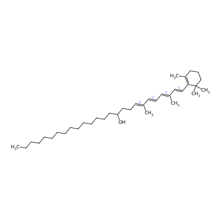 CCCCCCCCCCCCCCCC(O)CC/C=C(C)/C=C/C=C(C)/C=C/C1=C(C)CCCC1(C)C